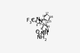 NC(=O)Nc1cc(-c2cc(C(F)(F)F)nn2-c2ccccc2)ccn1